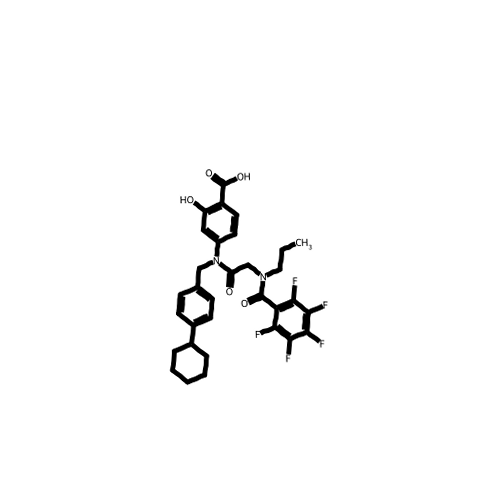 CCCN(CC(=O)N(Cc1ccc(C2CCCCC2)cc1)c1ccc(C(=O)O)c(O)c1)C(=O)c1c(F)c(F)c(F)c(F)c1F